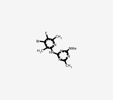 CNc1nc(C)nc(Nc2nc(C)c(F)c(Br)c2C)n1